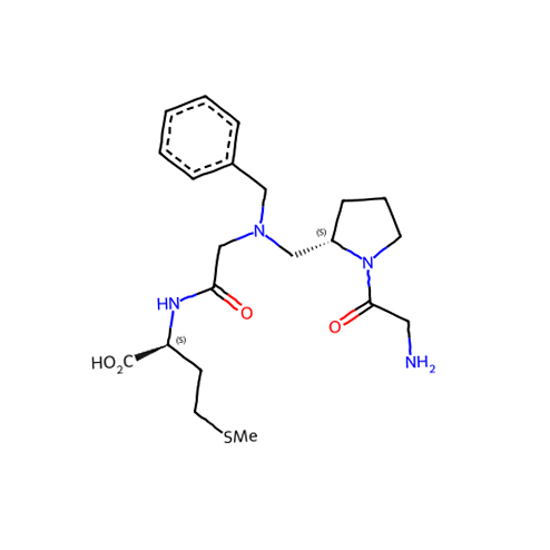 CSCC[C@H](NC(=O)CN(Cc1ccccc1)C[C@@H]1CCCN1C(=O)CN)C(=O)O